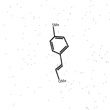 CO/C=C/c1ccc(SC)cc1